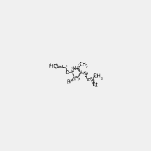 C#CCOc1nc(C)c(/N=C/N(C)CC)cc1Br